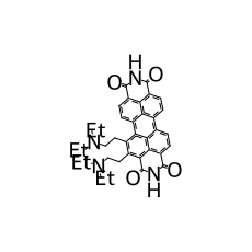 CCN(CC)CCc1c2c3c(ccc4c5ccc6c7c(ccc(c(c1CCN(CC)CC)c34)c75)C(=O)NC6=O)C(=O)NC2=O